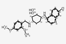 COc1ccc(CN[C@H]2CC[C@@H](Nc3ccnc4cc(Cl)ccc34)CC2)c(OC)c1.Cl.Cl